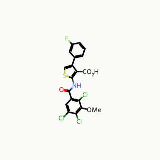 COc1c(Cl)c(Cl)cc(C(=O)Nc2scc(-c3cccc(F)c3)c2C(=O)O)c1Cl